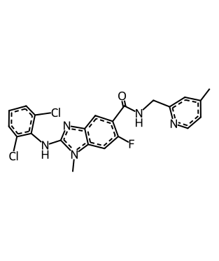 Cc1ccnc(CNC(=O)c2cc3nc(Nc4c(Cl)cccc4Cl)n(C)c3cc2F)c1